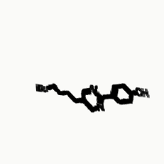 CCC(C)CCCCc1cnc(-c2ccc(O)cc2)nc1